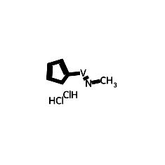 C[N]=[V][C]1=CC=CC1.Cl.Cl